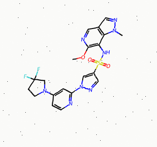 COc1ncc2cnn(C)c2c1NS(=O)(=O)c1cnn(-c2cc(N3CCC(F)(F)C3)ccn2)c1